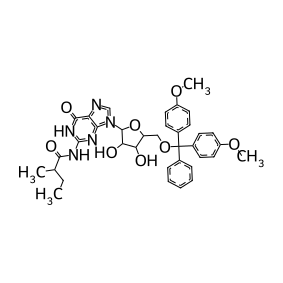 CCC(C)C(=O)Nc1nc2c(ncn2C2OC(COC(c3ccccc3)(c3ccc(OC)cc3)c3ccc(OC)cc3)C(O)C2O)c(=O)[nH]1